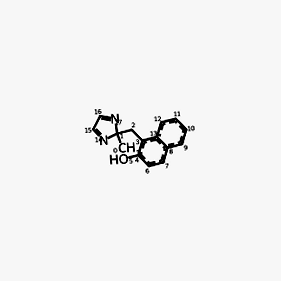 CC1(Cc2c(O)ccc3ccccc23)N=CC=N1